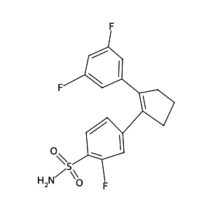 NS(=O)(=O)c1ccc(C2=C(c3cc(F)cc(F)c3)CCC2)cc1F